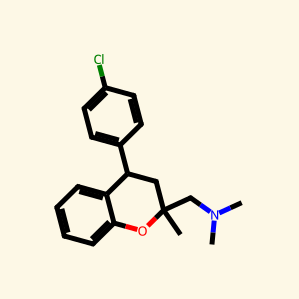 CN(C)CC1(C)CC(c2ccc(Cl)cc2)c2ccccc2O1